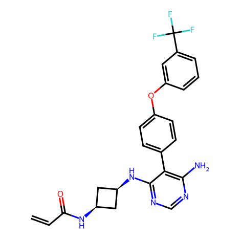 C=CC(=O)N[C@H]1C[C@@H](Nc2ncnc(N)c2-c2ccc(Oc3cccc(C(F)(F)F)c3)cc2)C1